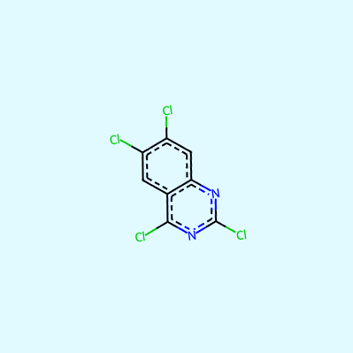 Clc1nc(Cl)c2cc(Cl)c(Cl)cc2n1